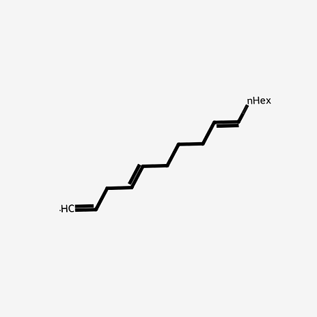 [CH]=CCC=CCCCC=CCCCCCC